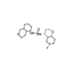 O=C(Nc1cccc2cnccc12)N[C@@H]1CCOc2ccc(F)cc21